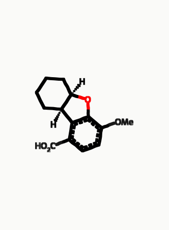 COc1ccc(C(=O)O)c2c1O[C@@H]1CCCC[C@H]21